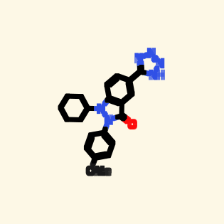 COc1ccc(-n2c(=O)c3cc(-c4nnn[nH]4)ccc3n2C2CCCCC2)cc1